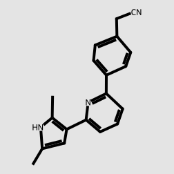 Cc1cc(-c2cccc(-c3ccc(CC#N)cc3)n2)c(C)[nH]1